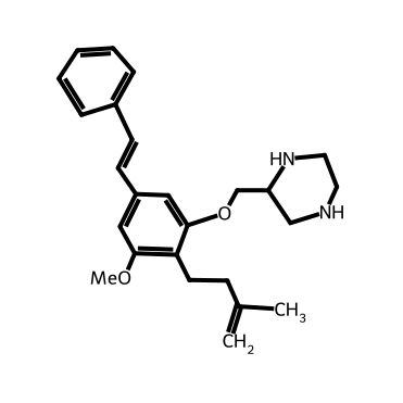 C=C(C)CCc1c(OC)cc(/C=C/c2ccccc2)cc1OCC1CNCCN1